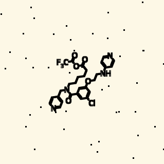 O=C(CCCCCN(Cc1ccncc1)C(=O)c1cc(Cl)cc(OCCNc2ccncc2)c1)OC(=O)C(F)(F)F